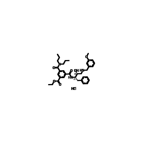 CCCN(CCC)C(=O)c1cc(C(=O)N[C@@H](Cc2ccccc2)[C@H](O)CNCc2cccc(OC)c2)cc(C(=O)OCC)c1.Cl